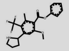 COc1cc(C2CCCN2)c(C(F)(F)F)c(C)c1C(=O)Oc1ccccc1